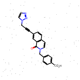 O=C(O)c1ccc(Cn2ccc3ccc(C#CCn4ccnn4)cc3c2=O)cc1